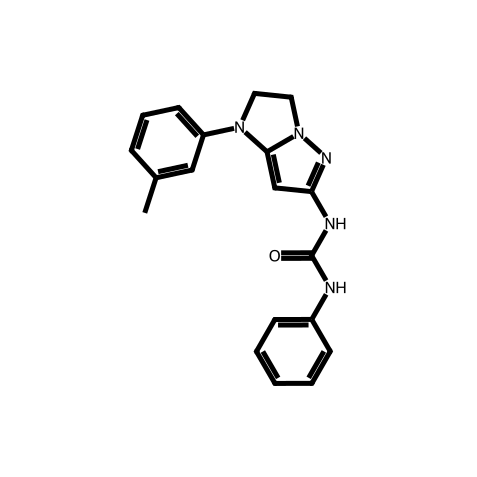 Cc1cccc(N2CCn3nc(NC(=O)Nc4ccccc4)cc32)c1